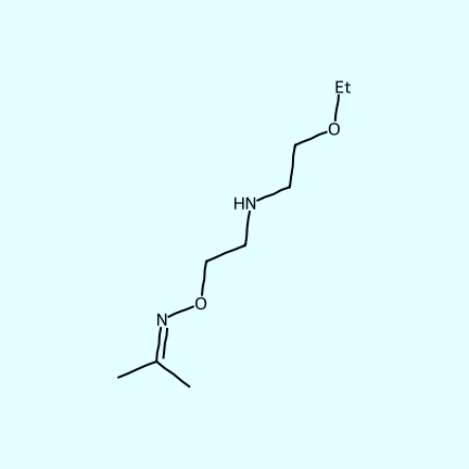 CCOCCNCCON=C(C)C